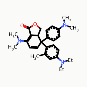 CCN(CC)c1ccc(C2(c3ccc(N(C)C)cc3)C=CC(N(C)C)=C3C(=O)OCC32)c(C)c1